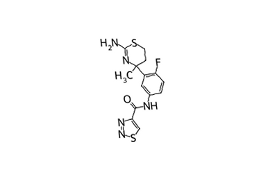 CC1(c2cc(NC(=O)c3csnn3)ccc2F)CCSC(N)=N1